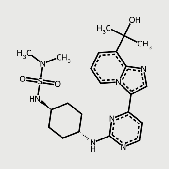 CN(C)S(=O)(=O)N[C@H]1CC[C@H](Nc2nccc(-c3cnc4c(C(C)(C)O)cccn34)n2)CC1